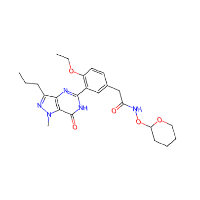 CCCc1nn(C)c2c(=O)[nH]c(-c3cc(CC(=O)NOC4CCCCO4)ccc3OCC)nc12